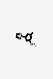 Cc1cc(N)cc(-n2nccn2)c1